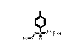 Cc1ccc(S(=O)(=S)OSC#N)cc1.[KH].[KH].[KH]